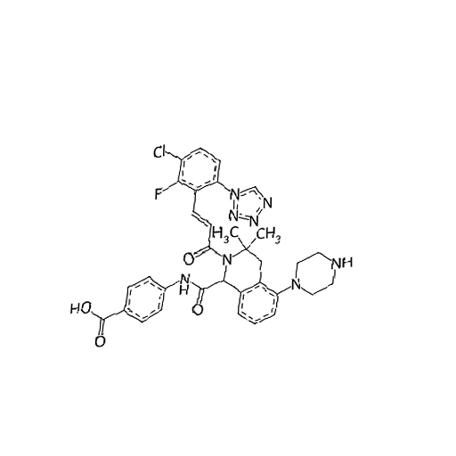 CC1(C)Cc2c(cccc2N2CCNCC2)C(C(=O)Nc2ccc(C(=O)O)cc2)N1C(=O)C=Cc1c(-n2cnnn2)ccc(Cl)c1F